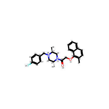 Cc1ccc2ccccc2c1OCC(=O)N1C[C@H](C)N(Cc2ccc(F)cc2)C[C@H]1C